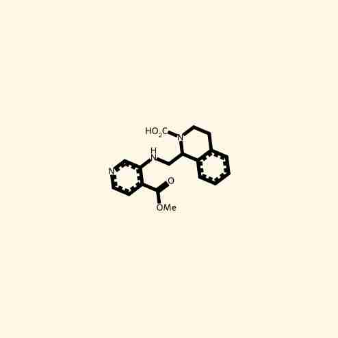 COC(=O)c1ccncc1NCC1c2ccccc2CCN1C(=O)O